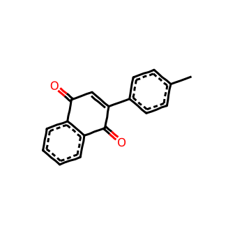 Cc1ccc(C2=CC(=O)c3ccccc3C2=O)cc1